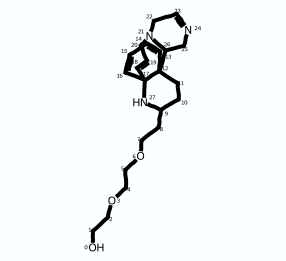 OCCOCCOCCC1CCC23C=CC=CC2(C=CCN2CC=NCC23)N1